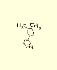 Cc1ccc(-c2cc[c]nc2)cc1C